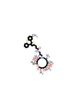 CC[C@H]1OC(=O)[C@H](C)[C@@H](O)[C@H](C)[C@@H](O)[C@](C)(O)C[C@@H](C)CN(CCCNC(=O)/C=C/c2cc3c(s2)-c2cc(C)ccc2Sc2ccccc2-3)[C@H](C)[C@@H](O)[C@]1(C)O